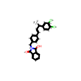 O=C1c2ccccc2C(O)N1Cc1ccc(/C=C/C(c2ccc(Cl)c(Cl)c2)C(F)(F)F)cc1